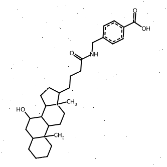 CC12CCC3C(C(O)CC4CCCCC43C)C1CCC2CCCC(=O)NCc1ccc(C(=O)O)cc1